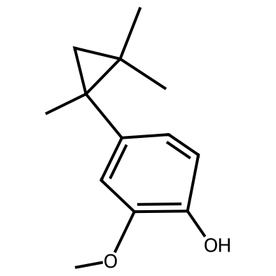 COc1cc(C2(C)CC2(C)C)ccc1O